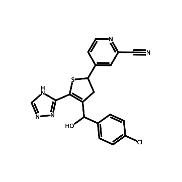 N#Cc1cc(C2CC(C(O)c3ccc(Cl)cc3)=C(c3nnc[nH]3)S2)ccn1